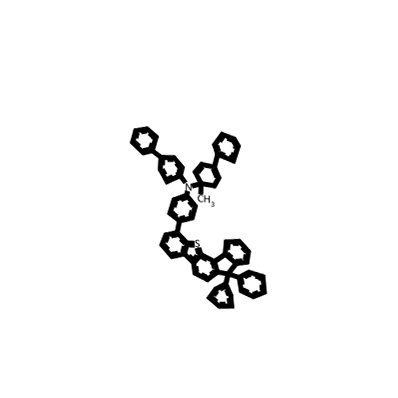 CC1(N(c2ccc(-c3ccccc3)cc2)c2ccc(-c3cccc4c3sc3c5c(ccc34)C(c3ccccc3)(c3ccccc3)c3ccccc3-5)cc2)C=CC(c2ccccc2)=CC1